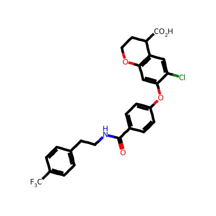 O=C(NCCc1ccc(C(F)(F)F)cc1)c1ccc(Oc2cc3c(cc2Cl)C(C(=O)O)CCO3)cc1